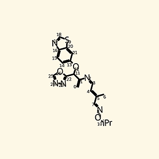 C=C(\N=C/C=C(C)/C=N/OC(C)C)C(Oc1ccc2ncsc2c1)c1nnco1